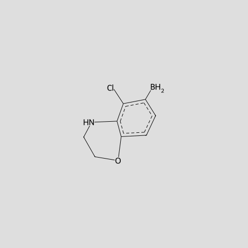 Bc1ccc2c(c1Cl)NCCO2